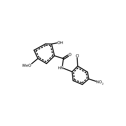 COc1ccc(O)c(C(=O)Nc2ccc([N+](=O)[O-])cc2Cl)c1